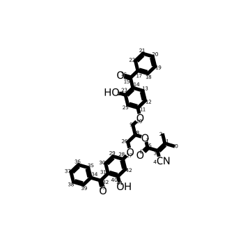 CC(C)=C(C#N)C(=O)OC(COc1ccc(C(=O)c2ccccc2)c(O)c1)COc1ccc(C(=O)c2ccccc2)c(O)c1